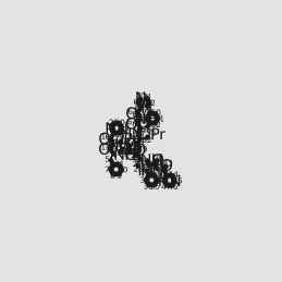 CC(C)C[C@H](N[C@@H](Cc1ccccc1)C(=O)NC(=O)c1cnccn1)B1OB([C@H](CC(C)C)N[C@@H](Cc2ccccc2)C(=O)NC(=O)c2cnccn2)OB([C@H](CC(C)C)N[C@@H](Cc2ccccc2)C(=O)NC(=O)c2cnccn2)O1